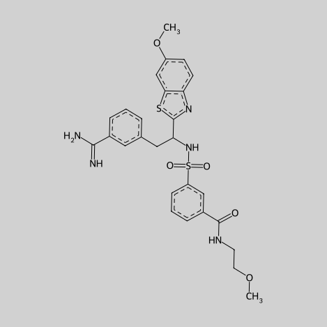 COCCNC(=O)c1cccc(S(=O)(=O)NC(Cc2cccc(C(=N)N)c2)c2nc3ccc(OC)cc3s2)c1